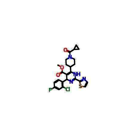 COC(=O)C1=C(C2CCN(C(=O)C3CC3)CC2)NC(c2nccs2)=NC1c1ccc(F)cc1Cl